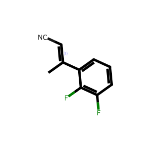 C/C(=C\C#N)c1cccc(F)c1F